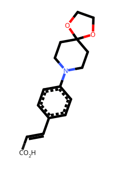 O=C(O)C=Cc1ccc(N2CCC3(CC2)OCCO3)cc1